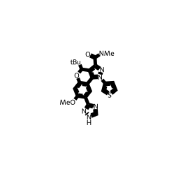 CNC(=O)c1nn(-c2ccsc2)c2c1C(C(C)(C)C)Oc1cc(OC)c(-c3nc[nH]n3)cc1-2